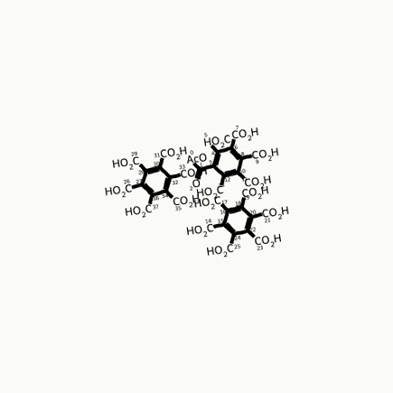 CC(=O)OC(=O)c1c(C(=O)O)c(C(=O)O)c(C(=O)O)c(C(=O)O)c1C(=O)O.O=C(O)c1c(C(=O)O)c(C(=O)O)c(C(=O)O)c(C(=O)O)c1C(=O)O.O=C(O)c1c(C(=O)O)c(C(=O)O)c(C(=O)O)c(C(=O)O)c1C(=O)O